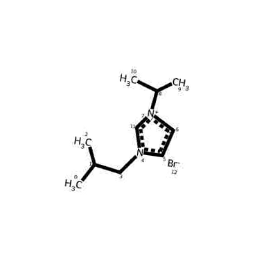 CC(C)Cn1cc[n+](C(C)C)c1.[Br-]